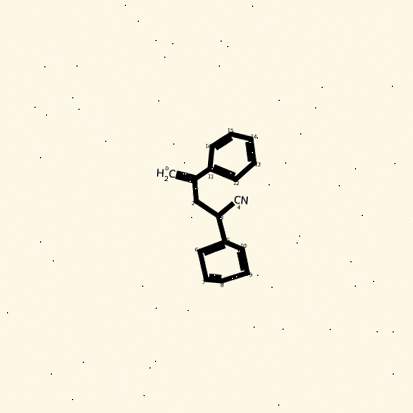 C=C(CC(C#N)c1ccccc1)c1ccccc1